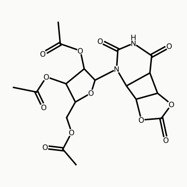 CC(=O)OCC1OC(N2C(=O)NC(=O)C3C4OC(=O)OC4C32)C(OC(C)=O)C1OC(C)=O